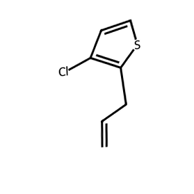 C=CCc1sccc1Cl